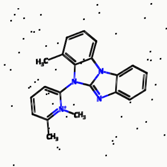 Cc1cccc2c1n(-c1cccc(C)[n+]1C)c1nc3ccccc3n21